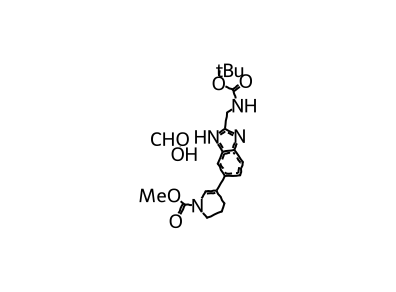 COC(=O)N1C=C(c2ccc3nc(CNC(=O)OC(C)(C)C)[nH]c3c2)CCC1.O=CO